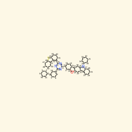 c1ccc(-c2cccc(-c3nc(-c4ccc5c(c4)oc4cc6c7ccccc7n(-c7ccccc7)c6cc45)nc(-c4cccc5sc6ccccc6c45)n3)c2)cc1